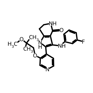 COC(C)(C)COc1cnccc1-c1[nH]c2c(c1Nc1cccc(F)c1)C(=O)NCC2